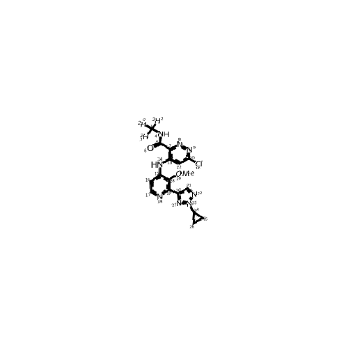 [2H]C([2H])([2H])NC(=O)c1nnc(Cl)cc1Nc1ccnc(-c2cnn(C3CC3)n2)c1OC